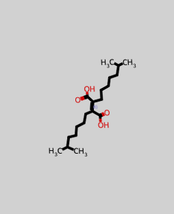 CC(C)CCCCC/C(C(=O)O)=C(/CCCCCC(C)C)C(=O)O